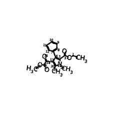 CCOC(=O)c1c(-c2ccccc2)c(C(=O)C(=O)OC)c(C)n1C